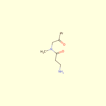 CC(C)C(=O)CN(C)C(=O)CCN